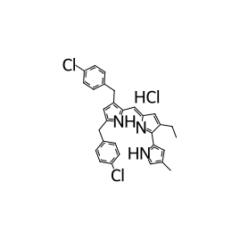 CCC1=CC(=Cc2[nH]c(Cc3ccc(Cl)cc3)cc2Cc2ccc(Cl)cc2)N=C1c1cc(C)c[nH]1.Cl